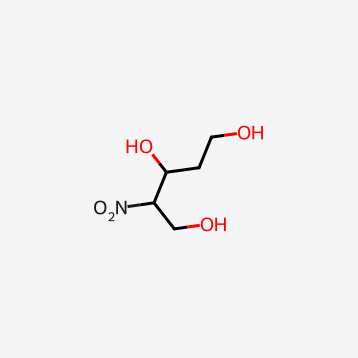 O=[N+]([O-])C(CO)C(O)CCO